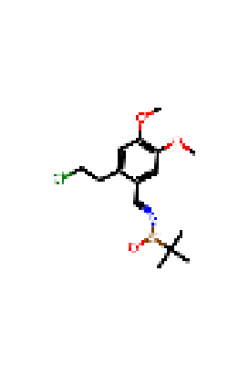 COc1cc(/C=N/[S+]([O-])C(C)(C)C)c(CCCl)cc1OC